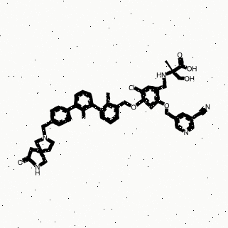 Cc1c(COc2cc(OCc3cncc(C#N)c3)c(CN[C@@](C)(CO)C(=O)O)cc2Cl)cccc1-c1cccc(-c2ccc(CN3CCC4(CNC(=O)C4)C3)cc2)c1C